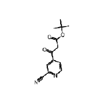 CC(C)(C)OC(=O)CC(=O)c1ccnc(C#N)c1